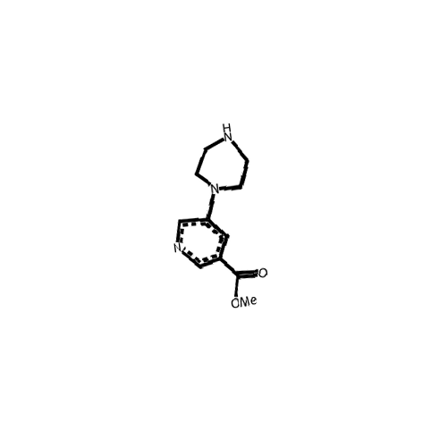 COC(=O)c1cncc(N2CCNCC2)c1